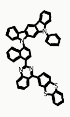 c1ccc(-n2c3ccccc3c3cc4c5ccccc5n(-c5ccc(-c6nc(-c7ccc8c(c7)Sc7ccccc7S8)c7ccccc7n6)c6ccccc56)c4cc32)cc1